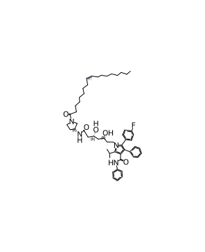 CCCCCCCC/C=C\CCCCCCCC(=O)N1CC[C@@H](NC(=O)C[C@H](O)C[C@H](O)CCn2c(-c3ccc(F)cc3)c(-c3ccccc3)c(C(=O)Nc3ccccc3)c2C(C)C)C1